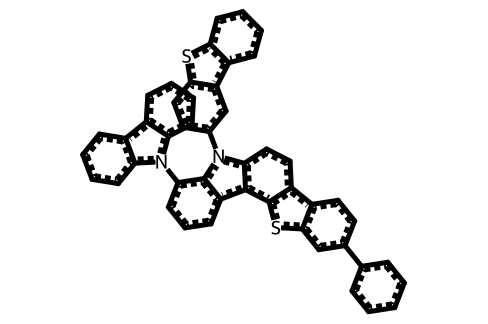 c1ccc(-c2ccc3c(c2)sc2c3ccc3c2c2cccc(-n4c5ccccc5c5ccccc54)c2n3-c2ccc3sc4ccccc4c3c2)cc1